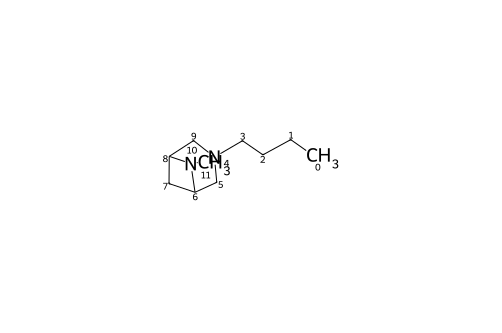 CCCCN1CC2CC(C1)N2C